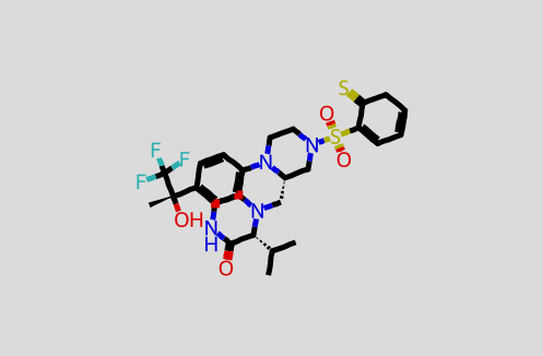 CC(C)[C@@H]1C(=O)NCCN1C[C@H]1CN(S(=O)(=O)C2=CC=CCC2=S)CCN1c1ccc([C@](C)(O)C(F)(F)F)cc1